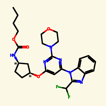 CCCCOC(=O)N[C@@H]1CC[C@H](Oc2cc(-n3c(C(F)F)nc4ccccc43)nc(N3CCOCC3)n2)C1